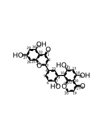 O=c1cc(-c2ccc(O)c(-c3c(O)cc(O)c4c(=O)c[c]oc34)c2)oc2cc(O)cc(O)c12